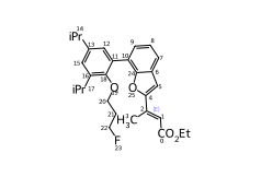 CCOC(=O)/C=C(\C)c1cc2cccc(-c3cc(C(C)C)cc(C(C)C)c3OCCCF)c2o1